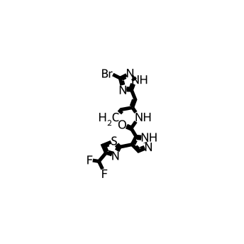 C=C/C(=C\c1nc(Br)n[nH]1)NC(=O)c1[nH]ncc1-c1nc(C(F)F)cs1